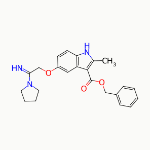 Cc1[nH]c2ccc(OCC(=N)N3CCCC3)cc2c1C(=O)OCc1ccccc1